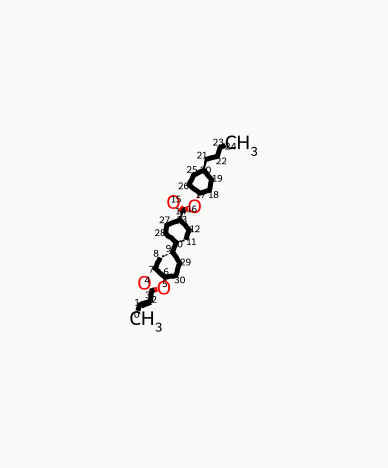 C/C=C/C(=O)O[C@H]1CC[C@H]([C@H]2CC[C@H](C(=O)O[C@H]3CC[C@H](CCCC)CC3)CC2)CC1